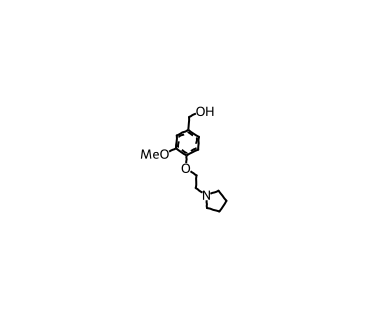 COc1cc(CO)ccc1OCCN1CCCC1